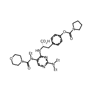 CCN(CC)c1ncc(N(CC)C(=O)N2CCOCC2)c(N[C@@H](Cc2ccc(OC(=O)N3CCCC3)cc2)C(=O)O)n1